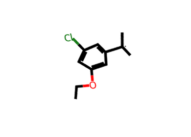 CCOc1cc(Cl)cc([C](C)C)c1